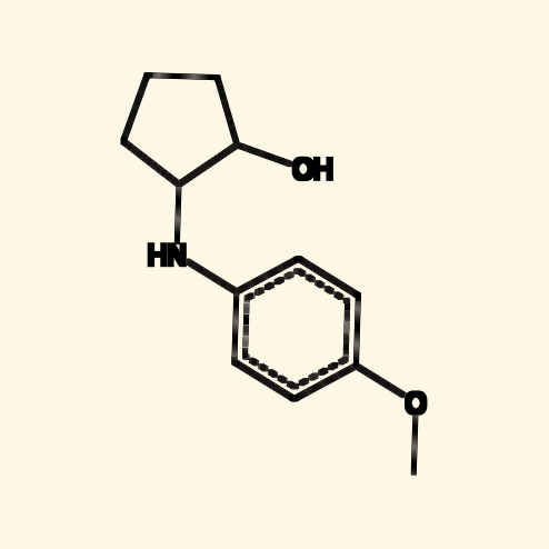 COc1ccc(NC2CCCC2O)cc1